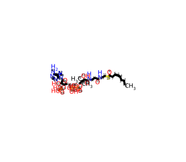 CCCCC=C=CCC(=O)SCCNC(=O)CCNC(=O)[C@H](O)C(C)(C)COP(=O)(O)OP(=O)(O)OC[C@H]1O[C@H](n2cnc3c(N)ncnc32)[C@H](O)[C@@H]1OP(=O)(O)O